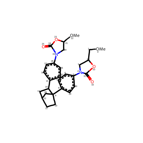 COCC1CN(c2ccc(C34CCC(CC3c3ccc(N5CC(OC)OC5=O)cc3)C4)cc2)C(=O)O1